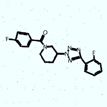 O=C(c1ccc(F)cc1)N1CCCC(n2nnc(-c3ccccc3F)n2)C1